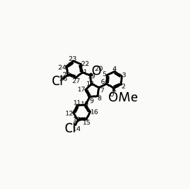 COc1ccccc1C1CC(c2ccc(Cl)cc2)=CC1C(=O)c1cccc(Cl)c1